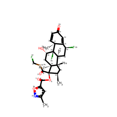 Cc1cc(C(=O)O[C@]2(C(=O)SCF)[C@H](C)C[C@H]3[C@@H]4C[C@H](F)C5=CC(=O)C=C[C@]5(C)[C@@]4(F)[C@@H](O)C[C@@]32C)on1